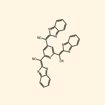 N#CC(=C1N=c2ccccc2=N1)c1cc(C(C#N)=C2N=c3ccccc3=N2)nc(C(C#N)=C2N=c3ccccc3=N2)c1